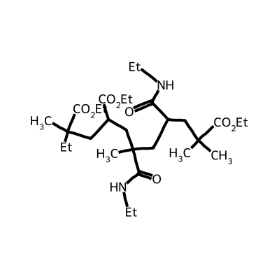 CCNC(=O)C(CC(C)(C)C(=O)OCC)CC(C)(CC(CC(C)(CC)C(=O)OCC)C(=O)OCC)C(=O)NCC